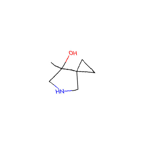 CC1(O)CNCC12CC2